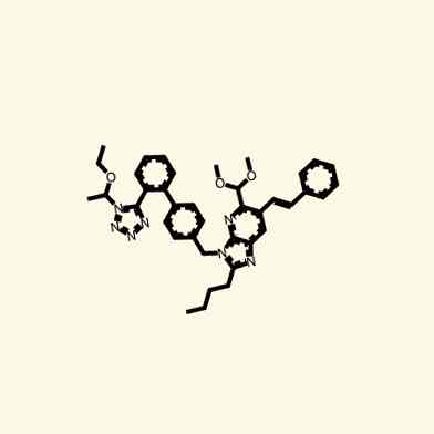 CCCCc1nc2cc(C=Cc3ccccc3)c(C(OC)OC)nc2n1Cc1ccc(-c2ccccc2-c2nnnn2C(C)OCC)cc1